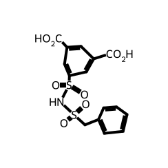 O=C(O)c1cc(C(=O)O)cc(S(=O)(=O)NS(=O)(=O)Cc2ccccc2)c1